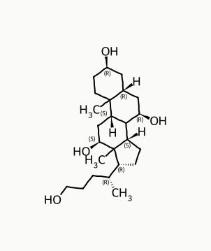 C[C@H](CCCO)[C@H]1CC[C@H]2C3[C@H](O)C[C@H]4C[C@H](O)CCC4(C)[C@H]3C[C@H](O)C12C